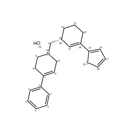 C1=C(c2ccccc2)CCN(C[C@H]2C=C(c3cccs3)CCC2)C1.Cl